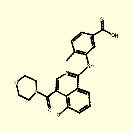 Cc1ccc(C(=O)O)cc1Nc1ncc(C(=O)N2CCOCC2)c2c(Cl)cccc12